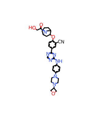 N#Cc1cc(-c2ncnc(Nc3ccc(N4CCN(C5COC5)CC4)cc3)n2)ccc1OC1CC2CCCC1CN2C(=O)CO